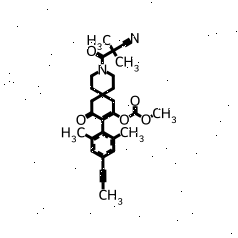 CC#Cc1cc(C)c(C2=C(OC(=O)OC)CC3(CCN(C(=O)C(C)(C)C#N)CC3)CC2=O)c(C)c1